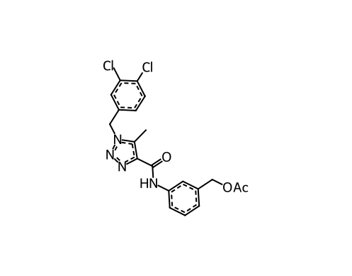 CC(=O)OCc1cccc(NC(=O)c2nnn(Cc3ccc(Cl)c(Cl)c3)c2C)c1